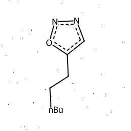 [CH2]CCCCCc1cnno1